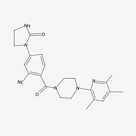 Cc1cc(C)c(N2CCN(C(=O)c3ccc(N4CCNC4=O)cc3C#N)CC2)nc1C